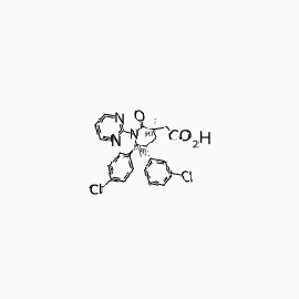 C[C@]1(CC(=O)O)C[C@H](c2cccc(Cl)c2)[C@@H](c2ccc(Cl)cc2)N(c2ncccn2)C1=O